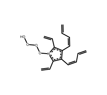 C=C/C=C\c1c(/C=C\C=C)c(C=C)n(OOOO)c1C=C